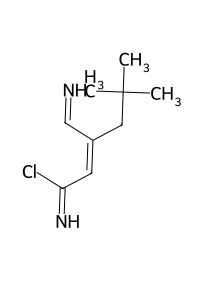 CC(C)(C)C/C(C=N)=C/C(=N)Cl